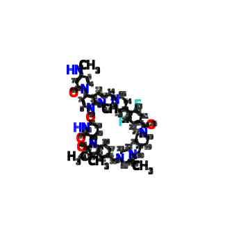 CNc1ccn(-c2ccnc3c2cc(CN2CCC(c4c(F)cc(C(=O)N5CCC(CN6CCN(Cc7ccc8c(c7)C(C)(C)C(=O)N8[C@@H]7CCC(=O)NC7=O)C[C@@H]6C)CC5)cc4F)CC2)n3C)c(=O)c1